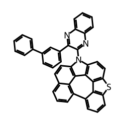 c1ccc(-c2cccc(-c3nc4ccccc4nc3-n3c4ccc5cccc6c5c4c4c5c(ccc43)sc3cccc-6c35)c2)cc1